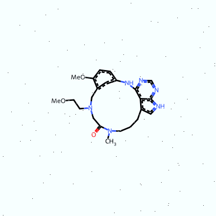 COCCN1CC(=O)N(C)CCCc2c[nH]c3ncnc(c23)Nc2ccc(OC)c(c2)C1